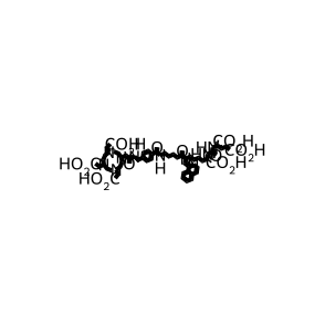 O=C(O)CC[C@@H](NC(=O)N[C@H](CCCCN(Cc1nccc2ccccc12)C(=O)CCCCNC(=O)c1ccc(CNC(=O)CN2CCN(CC(=O)O)CCN(CC(=O)O)CCN(CC(=O)O)CC2)cc1)C(=O)O)C(=O)O